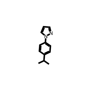 CC(C)c1ccc(-n2cccn2)cc1